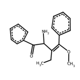 CCC(=C(OC)c1ccccc1)C(N)C(=O)c1ccccc1